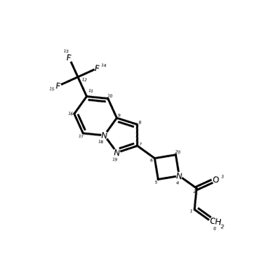 C=CC(=O)N1CC(c2cc3cc(C(F)(F)F)ccn3n2)C1